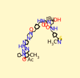 CC(=O)c1c(C)c2cnc(Nc3ccc(N4CCN(C(=O)Cc5ccc(CC(=O)N[C@H](C(=O)N6C[C@H](O)CC6C(=O)NCc6ccc(-c7scnc7C)cc6)C(C)(C)C)cc5)CC4)cn3)nc2n(C2CCCC2)c1=O